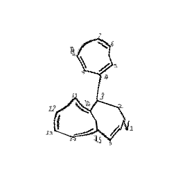 C1=NCC(c2ccccc2)c2ccccc21